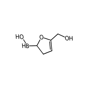 OBC1CC=C(CO)O1